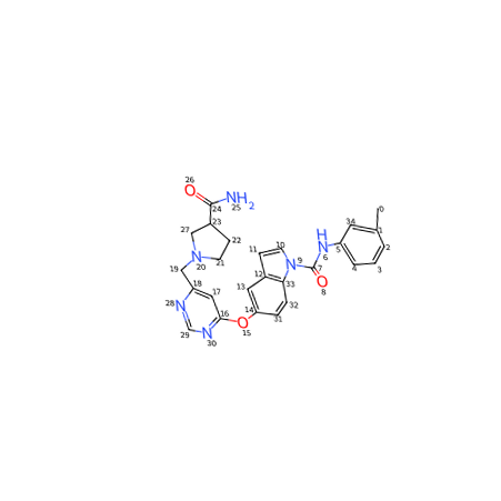 Cc1cccc(NC(=O)n2ccc3cc(Oc4cc(CN5CCC(C(N)=O)C5)ncn4)ccc32)c1